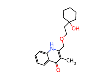 Cc1c(COCCC2(O)CCCCC2)[nH]c2ccccc2c1=O